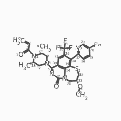 C=CC(=O)N1[C@H](C)CN(c2nc(=O)n3c4c(c(-c5ccc(F)cn5)c(C(F)(F)F)cc24)SC[C@@H](OC)C3)C[C@@H]1C